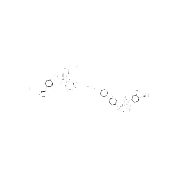 Cc1ncsc1-c1ccc(CNC(=O)C2CC(O)CN2C(=O)C(NC(=O)COCCCCOc2ccc(-c3ccc(N(C)C(C)(C)C(=O)N(C=S)c4ccc(C#N)c(C(F)(F)F)c4F)cn3)cc2)C(C)(C)C)cc1